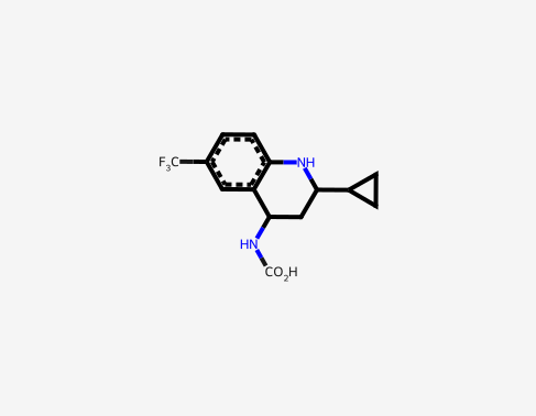 O=C(O)NC1CC(C2CC2)Nc2ccc(C(F)(F)F)cc21